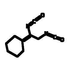 O=C=NCC(N=C=O)=C1CCCCC1